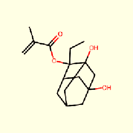 C=C(C)C(=O)OC1(CC)C2CC3CC(O)(C2)CC1(O)C3